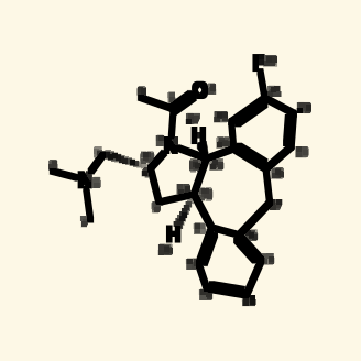 CC(=O)N1[C@@H](CN(C)C)C[C@@H]2c3ccccc3Cc3ccc(F)cc3[C@H]21